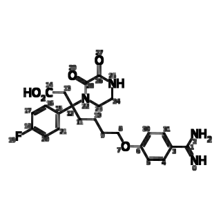 N=C(N)c1ccc(OCCCCC(CC(=O)O)(c2ccc(F)cc2)N2CCNC(=O)C2=O)cc1